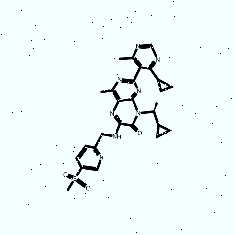 Cc1ncnc(C2CC2)c1-c1nc(C)c2nc(NCc3ccc(S(C)(=O)=O)cn3)c(=O)n([C@@H](C)C3CC3)c2n1